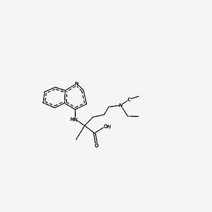 CCN(CC)CCCC(C)(Nc1ccnc2ccccc12)C(=O)O